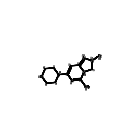 CCCC1=NC(N2CCOCC2)=CC2=NN(CC)CN21